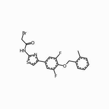 Cc1ccccc1COc1c(F)cc(-c2csc(NC(=O)CBr)n2)cc1F